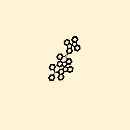 c1ccc(N(c2ccc3c(c2)-c2ccccc2C32c3ccccc3-c3ccccc32)c2cccc3c2-c2ccccc2C32c3ccccc3-c3c2cc(N(c2ccccc2)c2ccccc2)c2ccccc32)cc1